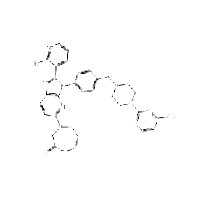 N#Cc1ccnc(N2CCN(Cc3ccc(-n4c(-c5cccnc5N)nc5ccc(N6CCCNC(=O)C6)nc54)cc3)CC2)n1